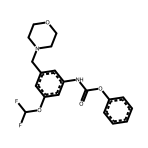 O=C(Nc1cc(CN2CCOCC2)cc(OC(F)F)c1)Oc1ccccc1